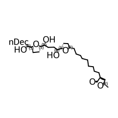 CCCCCCCCCC[C@@H](O)[C@@H]1CC[C@@H]([C@H](O)CC[C@@H](O)[C@@H]2CC[C@@H](CCCCCCCCCC3=C[C@@H](C)OC3=O)O2)O1